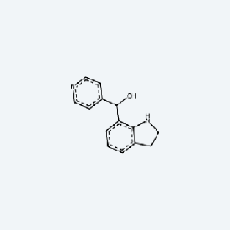 OC(c1ccncc1)c1cccc2c1NCC2